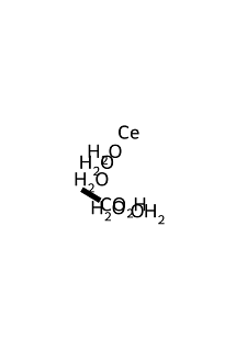 CC(=O)O.O.O.O.O.O.[Ce]